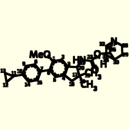 COc1cc2c(cc1-c1ccc(C3CC3)cc1)CC(C)(C)C2NC(=O)O[C@H]1CN2CCC1CC2